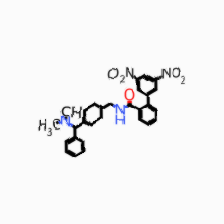 CN(C)C(c1ccccc1)C1CCC(CNC(=O)c2ccccc2-c2cc([N+](=O)[O-])cc([N+](=O)[O-])c2)CC1